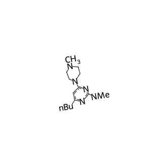 CCCCc1cc(N2CCN(C)CC2)nc(NC)n1